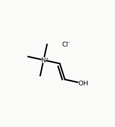 C[N+](C)(C)C=CO.[Cl-]